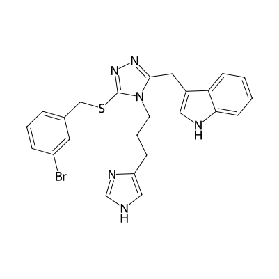 Brc1cccc(CSc2nnc(Cc3c[nH]c4ccccc34)n2CCCc2c[nH]cn2)c1